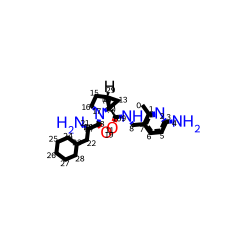 Cc1nc(N)ccc1CNC(=O)[C@]12C[C@H]1CCN2C(=O)[C@H](N)CC1CCCCC1